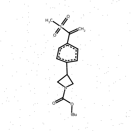 C=C(c1ccc(C2CN(C(=O)OC(C)(C)C)C2)cc1)S(C)(=O)=O